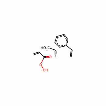 C=CC(=O)O.C=CC(=O)OO.C=Cc1ccccc1